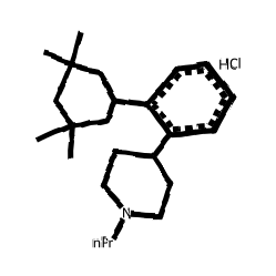 CCCN1CCC(c2ccccc2C2CC(C)(C)CC(C)(C)C2)CC1.Cl